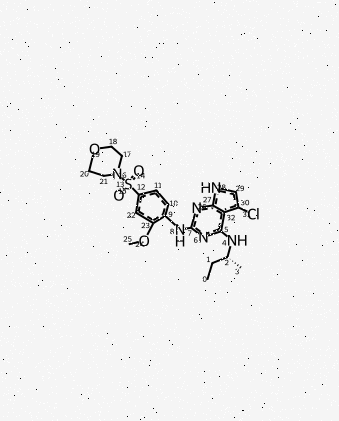 CC[C@@H](C)Nc1nc(Nc2ccc(S(=O)(=O)N3CCOCC3)cc2OC)nc2[nH]cc(Cl)c12